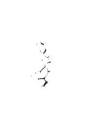 O=C(c1ccoc1)N(CCI)c1sc(-c2cccnc2)nc1Cl